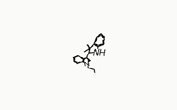 CCCn1cc(C2Nc3ccccc3C2(C)C)c2ccccc21